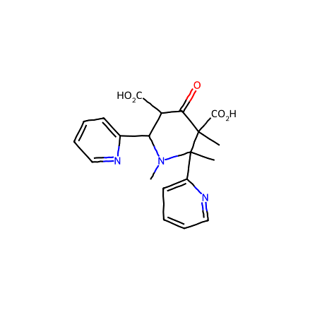 CN1C(c2ccccn2)C(C(=O)O)C(=O)C(C)(C(=O)O)C1(C)c1ccccn1